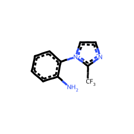 Nc1ccccc1-n1ccnc1C(F)(F)F